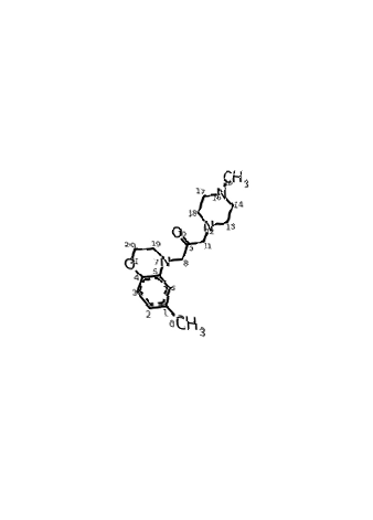 Cc1ccc2c(c1)N(CC(=O)CN1CCN(C)CC1)CCO2